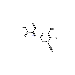 CCC(=O)/C(C=O)=C/c1cc(O)c(O)c(C#N)c1